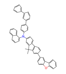 CC1(C)c2cc(-c3ccc4oc5ccccc5c4c3)ccc2-c2ccc(N(c3ccc(-c4cccc(-c5ccccc5)c4)cc3)c3cccc4ccccc34)cc21